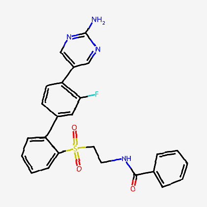 Nc1ncc(-c2ccc(-c3ccccc3S(=O)(=O)CCNC(=O)c3ccccc3)cc2F)cn1